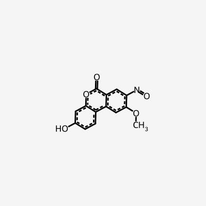 COc1cc2c(cc1N=O)c(=O)oc1cc(O)ccc12